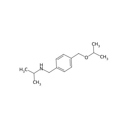 CC(C)NCc1ccc(COC(C)C)cc1